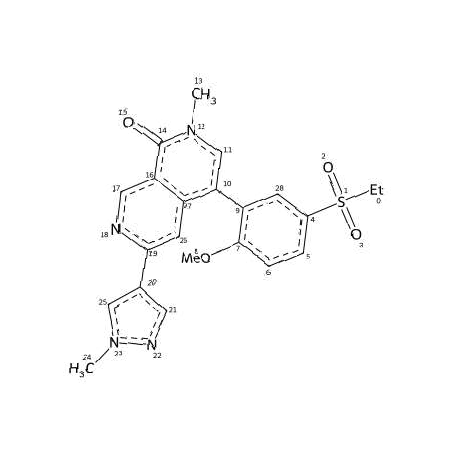 CCS(=O)(=O)c1ccc(OC)c(-c2cn(C)c(=O)c3cnc(-c4cnn(C)c4)cc23)c1